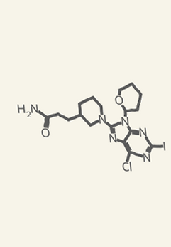 NC(=O)CCC1CCCN(c2nc3c(Cl)nc(I)nc3n2C2CCCCO2)C1